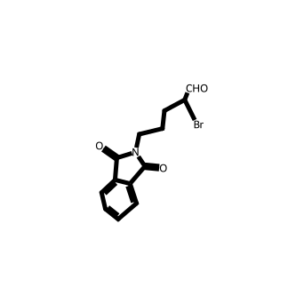 O=CC(Br)CCCN1C(=O)c2ccccc2C1=O